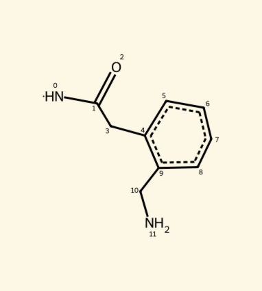 [NH]C(=O)Cc1ccccc1CN